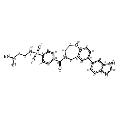 CCN(CC)CCNS(=O)(=O)c1ccc(C(=O)N2CCOc3ccc(-c4ccc5nc[nH]c5c4)cc3C2)cc1